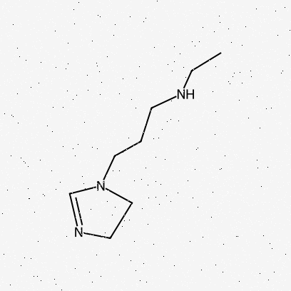 CCNCCCN1C=NCC1